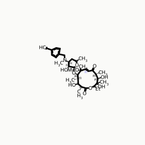 C#Cc1ccc(CN(C)[C@H]2C[C@@H](C)O[C@@H](O[C@@H]3[C@@H](C)[C@H](O)[C@@H](C)C(=O)O[C@H](CC)[C@@](C)(O)[C@H](O)[C@@H](C)C(=O)/C=C/[C@@]3(C)OC)[C@H]2O)cc1